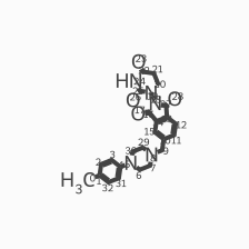 Cc1ccc(N2CCN(Cc3ccc4c(c3)C(=O)N(N3CCC(=O)NC3=O)C4=O)CC2)cc1